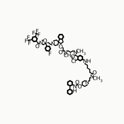 CN(CCN1CCC(OC(=O)Nc2ccccc2-c2ccccc2)CC1)C(=O)CCCCCNc1ccc(C(=O)N(C)CCCN(C)C(=O)CO[C@H]2Cc3ccccc3C23CCN(CC[C@@]2(c4ccc(F)cc4)CN(C(=O)c4cc(C(F)(F)F)cc(C(F)(F)F)c4)CO2)CC3)c(Cl)c1